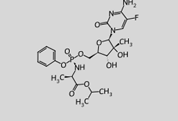 CC(C)OC(=O)[C@@H](C)N[P@@](=O)(OC[C@H]1O[C@@H](n2cc(F)c(N)nc2=O)[C@](C)(O)[C@@H]1O)Oc1ccccc1